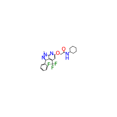 Cn1nc(-c2ccccc2)c2c(C(F)(F)F)cc(OCC(=O)NC3CCCCC3)nc21